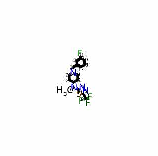 CN(c1nnc(C(F)(F)F)s1)C1CCN(Cc2cccc(F)c2)CC1